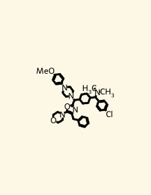 COc1ccc(N2CCN(C(c3nc(Cc4ccccc4)c(N4CCOCC4)o3)C3CCC(C(c4ccc(Cl)cc4)N(C)C)CC3)CC2)cc1